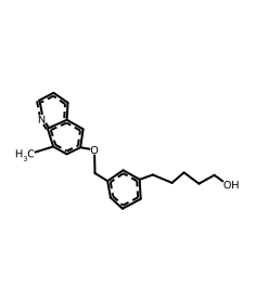 Cc1cc(OCc2cccc(CCCCCO)c2)cc2cccnc12